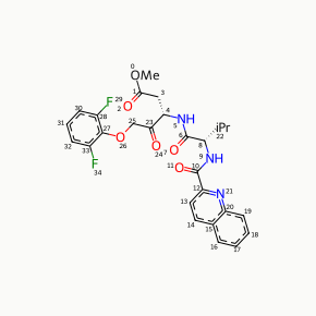 COC(=O)C[C@H](NC(=O)[C@@H](NC(=O)c1ccc2ccccc2n1)C(C)C)C(=O)COc1c(F)cccc1F